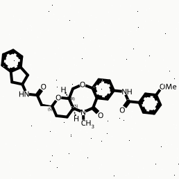 COc1cccc(C(=O)Nc2ccc3c(c2)C(=O)N(C)[C@H]2CC[C@@H](CC(=O)NC4Cc5ccccc5C4)O[C@H]2CO3)c1